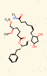 CCNC(=O)CCC/C=C\C[C@@H]1[C@@H](/C=C/[C@H](CCc2ccccc2)OC(=O)CCC[C@H](CO[N+](=O)[O-])ON=O)[C@H](O)C[C@@H]1O